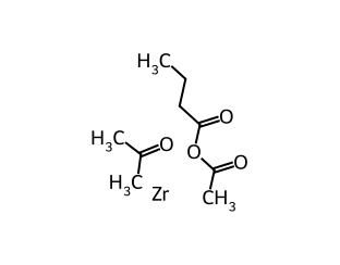 CC(C)=O.CCCC(=O)OC(C)=O.[Zr]